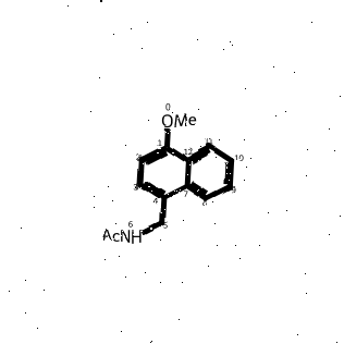 COc1ccc(CNC(C)=O)c2ccccc12